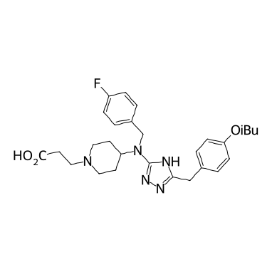 CC(C)COc1ccc(Cc2nnc(N(Cc3ccc(F)cc3)C3CCN(CCC(=O)O)CC3)[nH]2)cc1